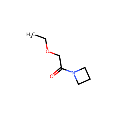 CCOCC(=O)N1CCC1